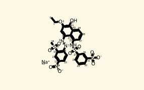 CCOc1cc(N=Nc2ccc([N+](=O)[O-])cc2S(C)(=O)=O)c2c(NS(=O)(=O)c3cccc(S(=O)(=O)[O-])c3)cccc2c1O.[Na+]